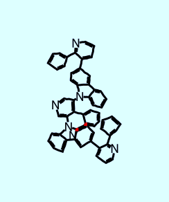 N#Cc1ccccc1-c1c(-n2c3ccccc3c3cc(-c4cccnc4-c4ccccc4)ccc32)cncc1-n1c2ccccc2c2cc(-c3cccnc3-c3ccccc3)ccc21